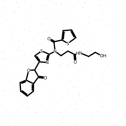 O=C(CCN(C(=O)c1cccs1)c1nc(C2Oc3ccccc3C2=O)cs1)NCCO